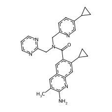 Cc1cc2cc(C(=O)N(Cc3ccc(C4CC4)cn3)Cc3ncccn3)c(C3CC3)cc2nc1N